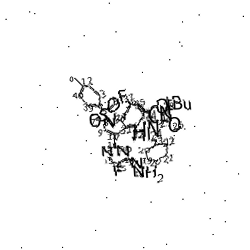 Cc1ccc(S(=O)(=O)n2cc(-c3ncc(F)c(N(N)[C@H]4CCC[C@@H](NC(=O)OC(C)(C)C)C4)n3)c3cc(C#N)cc(F)c32)cc1